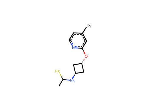 CC(S)N[C@H]1C[C@H](Oc2cc(C(C)C)ccn2)C1